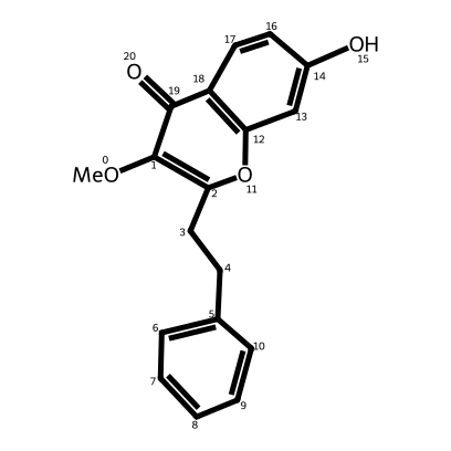 COc1c(CCc2ccccc2)oc2cc(O)ccc2c1=O